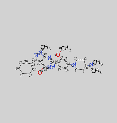 COc1cc(N2CCC(N(C)C)CC2)ccc1-c1nc2c(c(C3CCCCCC3)nn2C)c(=O)[nH]1